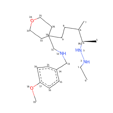 CCNN[C@H](C)C(C)CCC1(CNCc2ccc(OC)cc2)CCOCC1